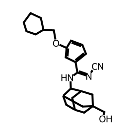 N#CN=C(NC1C2CC3CC1CC(CO)(C3)C2)c1cccc(OCC2CCCCC2)c1